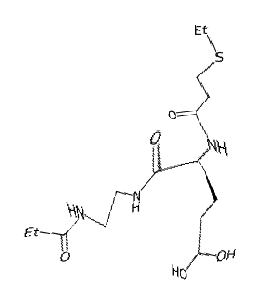 CCSCCC(=O)N[C@@H](CCC(O)O)C(=O)NCCNC(=O)CC